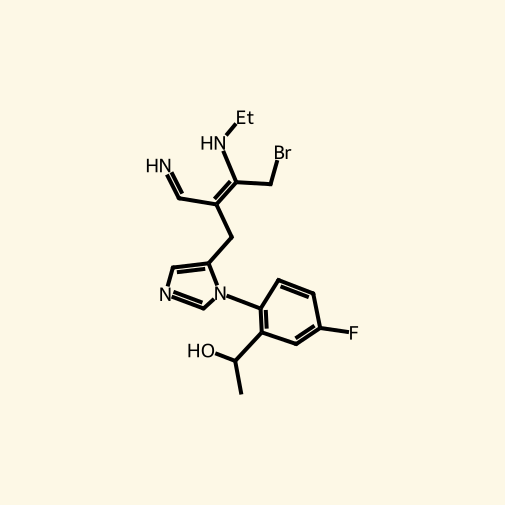 CCN/C(CBr)=C(\C=N)Cc1cncn1-c1ccc(F)cc1C(C)O